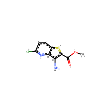 COC(=O)c1sc2ccc(Cl)nc2c1N